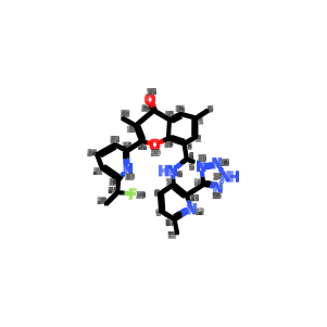 Cc1cc(C(C)Nc2ccc(C)nc2-c2nn[nH]n2)c2oc(-c3cccc(C(C)F)n3)c(C)c(=O)c2c1